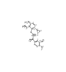 COc1ccc(C(=O)NCc2c(C3CC3)ccc(N)c2C=N)cc1Cl